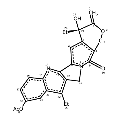 C=C1OCc2c(cc3n(c2=O)Cc2c-3nc3ccc(OC(C)=O)cc3c2CC)[C@@]1(O)CC